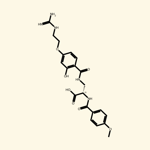 COc1ccc(C(=O)N[C@@H](CNC(=O)c2ccc(OCCNC(=N)N)cc2O)C(=O)O)cc1